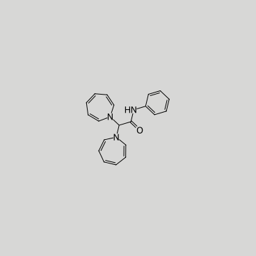 O=C(Nc1ccccc1)C(N1C=CC=CC=C1)N1C=CC=CC=C1